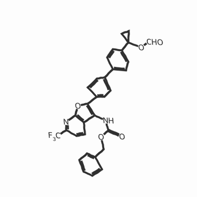 O=COC1(c2ccc(-c3ccc(-c4oc5nc(C(F)(F)F)ccc5c4NC(=O)OCc4ccccc4)cc3)cc2)CC1